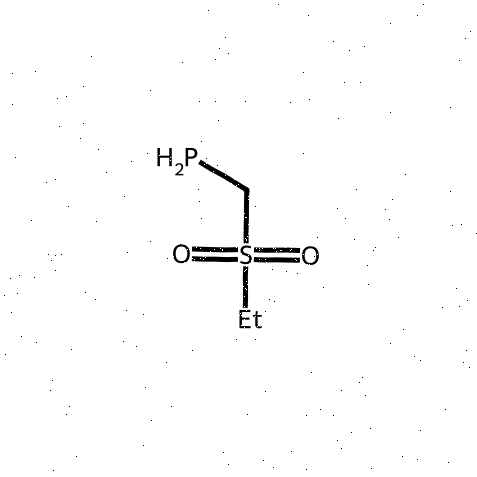 CCS(=O)(=O)CP